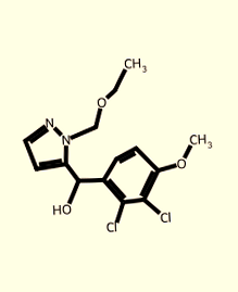 CCOCn1nccc1C(O)c1ccc(OC)c(Cl)c1Cl